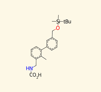 Cc1c(CNC(=O)O)cccc1-c1cccc(CO[Si](C)(C)C(C)(C)C)c1